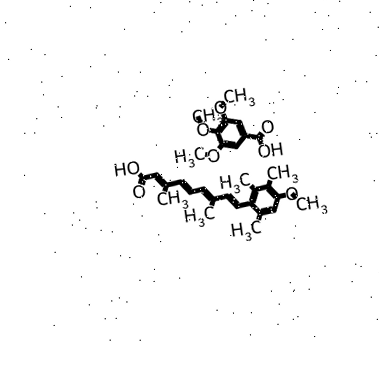 COc1cc(C(=O)O)cc(OC)c1OC.COc1cc(C)c(/C=C/C(C)=C/C=C/C(C)=C/C(=O)O)c(C)c1C